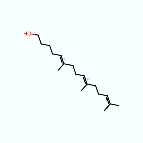 CC(C)=CCC/C(C)=C/CC/C(C)=C/CCCCO